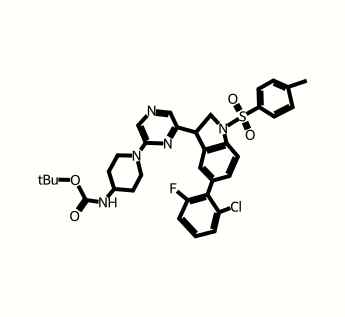 Cc1ccc(S(=O)(=O)N2CC(c3cncc(N4CCC(NC(=O)OC(C)(C)C)CC4)n3)c3cc(-c4c(F)cccc4Cl)ccc32)cc1